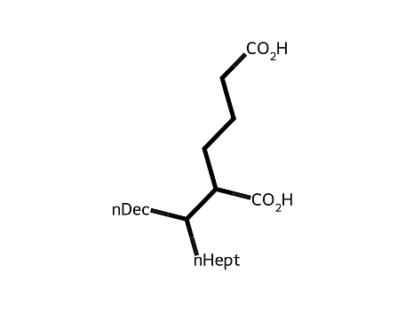 CCCCCCCCCCC(CCCCCCC)C(CCCC(=O)O)C(=O)O